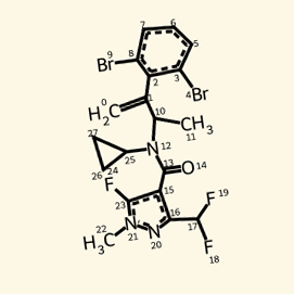 C=C(c1c(Br)cccc1Br)C(C)N(C(=O)c1c(C(F)F)nn(C)c1F)C1CC1